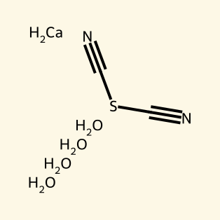 N#CSC#N.O.O.O.O.[CaH2]